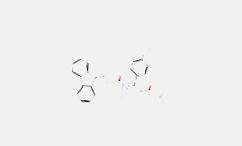 COc1ccc(C(CC(=O)O)NC(=O)OCC2c3ccccc3-c3ccccc32)cc1